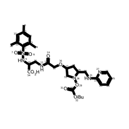 Cc1cc(C)c(S(=O)(=O)NC(CNC(=O)COC2CC(CNc3ccccn3)N(OC(=O)OCC(C)C)C2)C(=O)O)c(C)c1